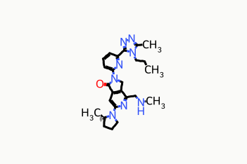 CCCn1c(C)nnc1-c1cccc(N2Cc3c(cc(N4CCC[C@H]4C)nc3CNC)C2=O)n1